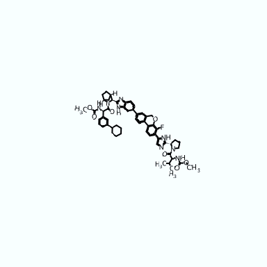 COC(=O)NC(C(=O)N1CCC[C@H]1c1ncc(-c2ccc3c(c2F)OCc2cc(-c4ccc5nc([C@@H]6[C@H]7CC[C@H](C7)N6C(=O)[C@H](NC(=O)OC)c6cccc(C7CCCCC7)c6)[nH]c5c4)ccc2-3)[nH]1)C(C)C